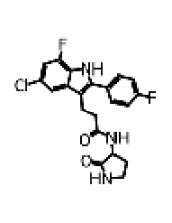 O=C(CCc1c(-c2ccc(F)cc2)[nH]c2c(F)cc(Cl)cc12)N[C@H]1CCNC1=O